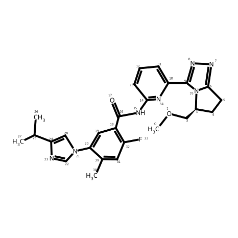 COC[C@@H]1CCc2nnc(-c3cccc(NC(=O)c4cc(-n5cnc(C(C)C)c5)c(C)cc4F)n3)n21